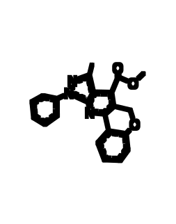 COC(=O)c1c2c(nc3c1c(C)nn3-c1ccccc1)-c1ccccc1OC2